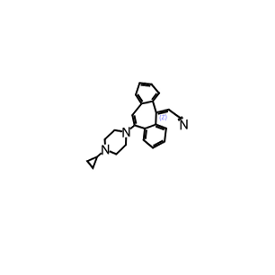 N#C/C=C1/c2ccccc2C=C(N2CCN(C3CC3)CC2)c2ccccc21